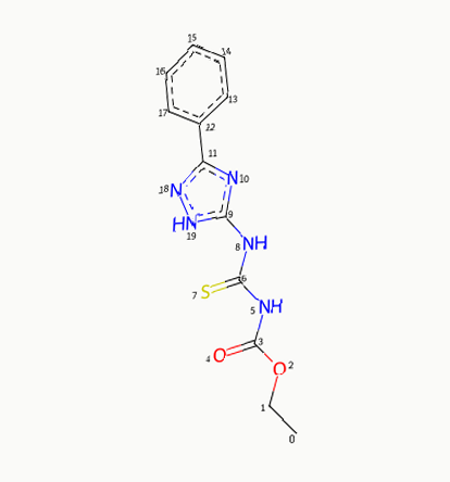 CCOC(=O)NC(=S)Nc1nc(-c2ccccc2)n[nH]1